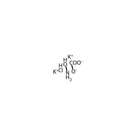 Cl.NO.O=C([O-])[O-].[K+].[K+]